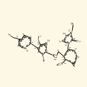 Cc1cc(-c2ccc(F)cn2)c(C)nc1OCc1c(Cl)cccc1-n1nnn(C)c1=O